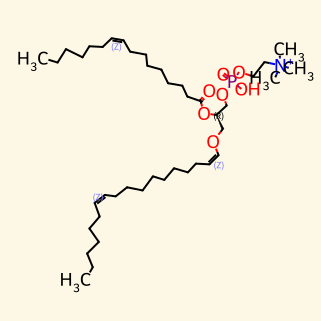 CCCCCC/C=C\CCCCCCCC/C=C\OC[C@H](COP(=O)(O)OCC[N+](C)(C)C)OC(=O)CCCCCCC/C=C\CCCCCC